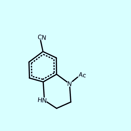 CC(=O)N1CCNc2ccc(C#N)cc21